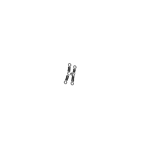 [O]=[Ce]=[O].[O]=[Zr]=[O]